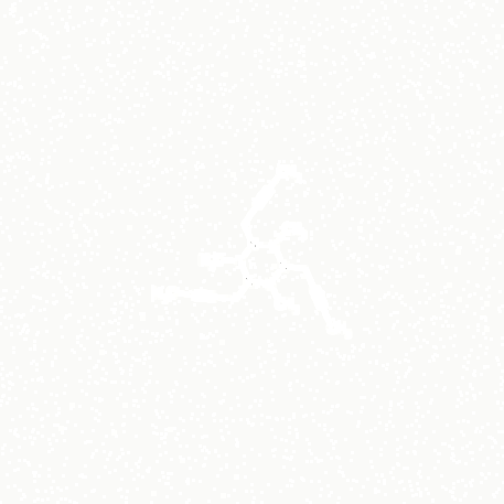 CC#CCN1B(C)N(CC#CC)B(C)N(CC#CC)B1C